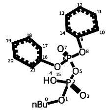 CCCCOP(=O)(O)OP(=O)(Oc1ccccc1)Oc1ccccc1